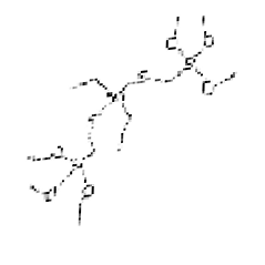 C[CH2][Sn]([CH2]C)([S]C[Si](OC)(OC)OC)[S]C[Si](OC)(OC)OC